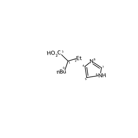 CCCCC(CC)C(=O)O.c1c[nH]cn1